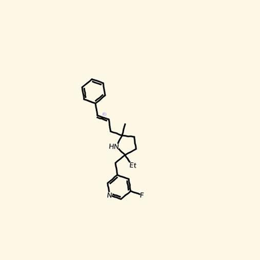 CCC1(Cc2cncc(F)c2)CCC(C)(C/C=C/c2ccccc2)N1